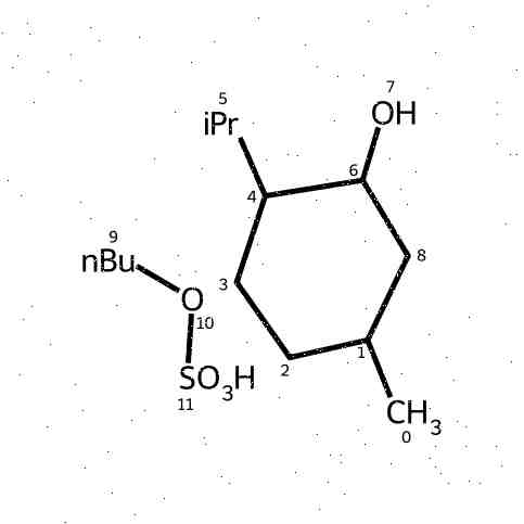 CC1CCC(C(C)C)C(O)C1.CCCCOS(=O)(=O)O